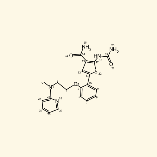 CN(CCOc1ccccc1-c1cc(C(N)=O)c(NC(N)=O)s1)c1ccccn1